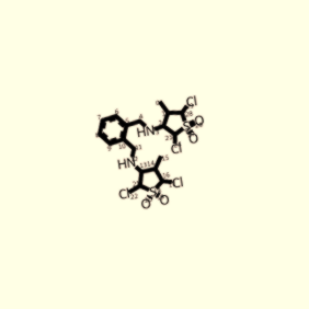 CC1C(NCc2ccccc2CNC2C(C)C(Cl)S(=O)(=O)C2Cl)C(Cl)S(=O)(=O)C1Cl